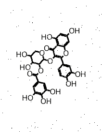 O=C(OC1C(Oc2c(-c3ccc(O)c(O)c3)oc3cc(O)cc(O)c3c2=O)OCC(O)C1O)c1cc(O)c(O)c(O)c1